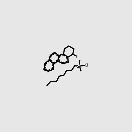 CCCCCCCC[Si](C)(C)Cl.FC1CCCc2c1ccc1c2ccc2ccccc21